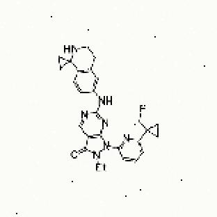 CCn1c(=O)c2cnc(Nc3ccc4c(c3)CCNC43CC3)nc2n1-c1cccc(C2(CF)CC2)n1